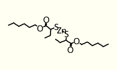 CCCCCCOC(=O)C(CC)[S][Zn][S]C(CC)C(=O)OCCCCCC